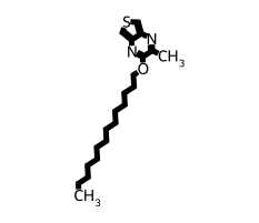 CCCCCCCCCCCCCCOc1nc2cscc2nc1C